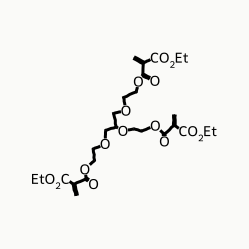 C=C(C(=O)OCC)C(=O)OCCOCC(COCCOC(=O)C(=C)C(=O)OCC)OCCOC(=O)C(=C)C(=O)OCC